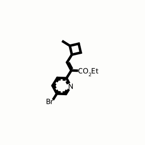 CCOC(=O)/C(=C\C1CCC1C)c1ccc(Br)cn1